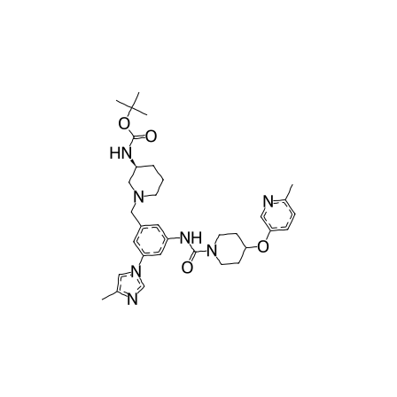 Cc1ccc(OC2CCN(C(=O)Nc3cc(CN4CCC[C@H](NC(=O)OC(C)(C)C)C4)cc(-n4cnc(C)c4)c3)CC2)cn1